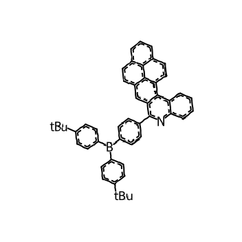 CC(C)(C)c1ccc(B(c2ccc(-c3nc4ccccc4c4c3cc3ccc5cccc6ccc4c3c56)cc2)c2ccc(C(C)(C)C)cc2)cc1